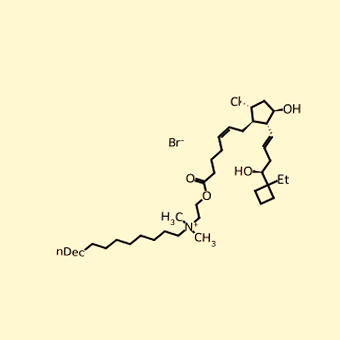 CCCCCCCCCCCCCCCCCC[N+](C)(C)CCOC(=O)CCC/C=C\C[C@@H]1[C@@H](/C=C/C[C@H](O)C2(CC)CCC2)[C@H](O)C[C@H]1Cl.[Br-]